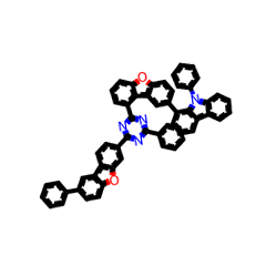 c1ccc(-c2ccc3oc4cc(-c5nc(-c6ccccc6)nc(-c6cccc7oc8ccc(-c9cccc%10c%11ccccc%11n(-c%11ccccc%11)c9%10)cc8c67)n5)ccc4c3c2)cc1